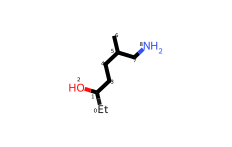 CCC(O)CCC(C)CN